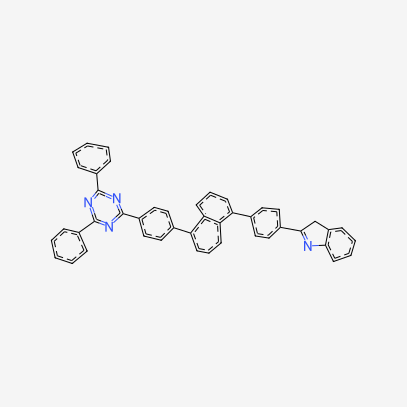 c1ccc(-c2nc(-c3ccccc3)nc(-c3ccc(-c4cccc5c(-c6ccc(C7=Nc8ccccc8C7)cc6)cccc45)cc3)n2)cc1